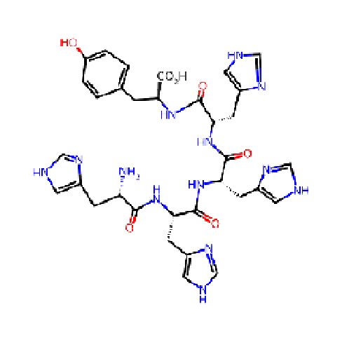 N[C@@H](Cc1c[nH]cn1)C(=O)N[C@@H](Cc1c[nH]cn1)C(=O)N[C@@H](Cc1c[nH]cn1)C(=O)N[C@@H](Cc1c[nH]cn1)C(=O)N[C@@H](Cc1ccc(O)cc1)C(=O)O